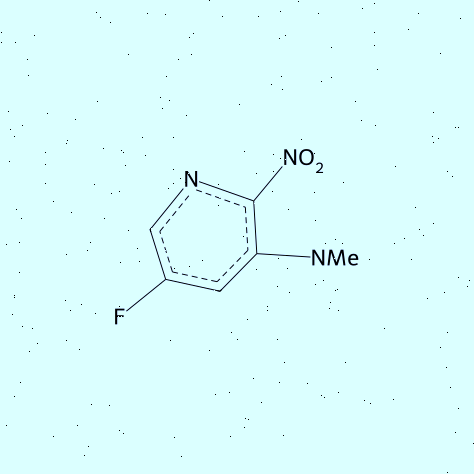 CNc1cc(F)cnc1[N+](=O)[O-]